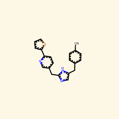 N#Cc1ccc(Cc2cnc(Cc3ccc(-c4cccs4)nc3)[nH]2)cc1